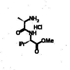 COC(=O)[C@@H](NC(=O)[C@H](C)N)C(C)C.Cl